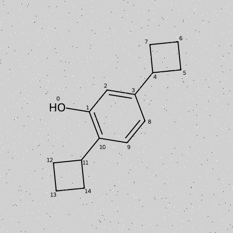 Oc1cc(C2CCC2)ccc1C1CCC1